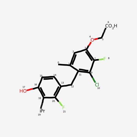 Cc1cc(OCC(=O)O)c(F)c(Cl)c1Cc1ccc(O)c(C(C)C)c1F